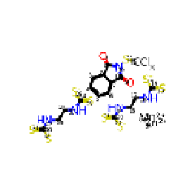 O=C1C2CC=CCC2C(=O)N1SC(Cl)(Cl)Cl.S=C([S-])NCCNC(=S)[S-].S=C([S-])NCCNC(=S)[S-].[Mn+2].[Zn+2]